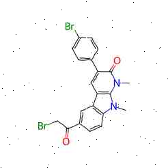 Cn1c(=O)c(-c2ccc(Br)cc2)cc2c3cc(C(=O)CBr)ccc3n(C)c21